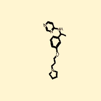 CC(Nc1ccncn1)c1cccc(OCCCN2CCCC2)c1